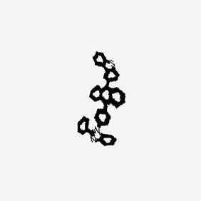 c1ccc(-c2nc3ccccc3n2-c2ccc(-c3c4ccccc4c(-c4ccc5sc6ccccc6c5c4)c4ccccc34)cc2)cc1